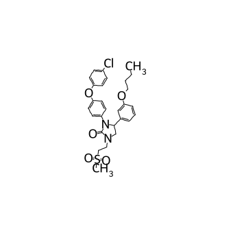 CCCCOc1cccc(C2CN(CCS(C)(=O)=O)C(=O)N2c2ccc(Oc3ccc(Cl)cc3)cc2)c1